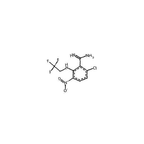 N=C(N)c1c(Cl)ccc([N+](=O)[O-])c1NCC(F)(F)F